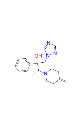 C=C1CCN([C@H](C)[C@](O)(Cn2cncn2)c2ccccc2)CC1